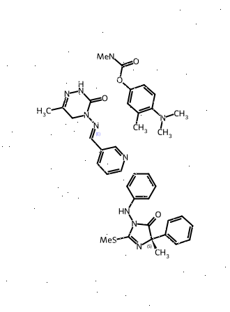 CC1=NNC(=O)N(/N=C/c2cccnc2)C1.CNC(=O)Oc1ccc(N(C)C)c(C)c1.CSC1=N[C@@](C)(c2ccccc2)C(=O)N1Nc1ccccc1